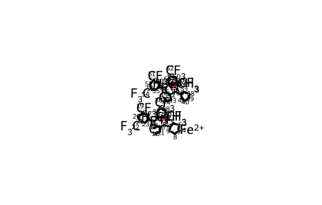 CN(C)[C@H](c1ccccc1)c1cc[cH-]c1P(c1cc(C(F)(F)F)cc(C(F)(F)F)c1)c1cc(C(F)(F)F)cc(C(F)(F)F)c1.CN(C)[C@H](c1ccccc1)c1cc[cH-]c1P(c1cc(C(F)(F)F)cc(C(F)(F)F)c1)c1cc(C(F)(F)F)cc(C(F)(F)F)c1.[Fe+2]